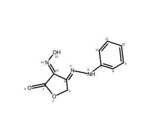 O=C1OCC(=NNc2ccccc2)C1=NO